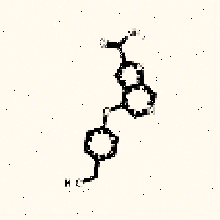 CCc1ccc(Oc2cncc3sc(C(N)=O)cc23)cc1